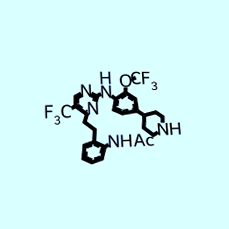 CC(=O)Nc1ccccc1CCc1nc(Nc2ccc(C3CCNCC3)cc2OC(F)(F)F)ncc1C(F)(F)F